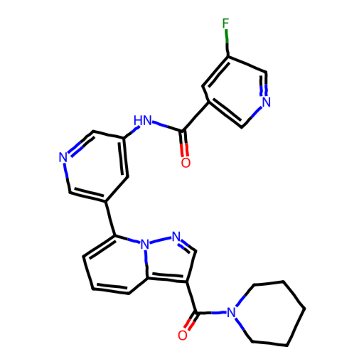 O=C(Nc1cncc(-c2cccc3c(C(=O)N4CCCCC4)cnn23)c1)c1cncc(F)c1